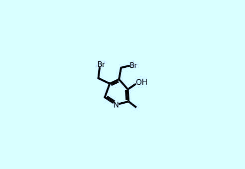 Cc1ncc(CBr)c(CBr)c1O